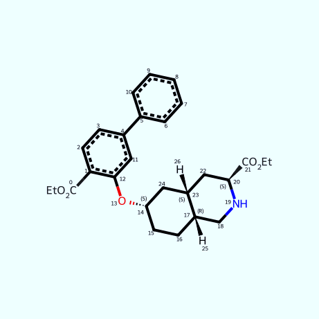 CCOC(=O)c1ccc(-c2ccccc2)cc1O[C@H]1CC[C@H]2CN[C@H](C(=O)OCC)C[C@H]2C1